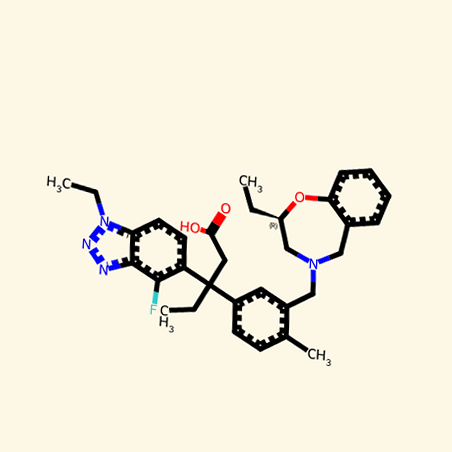 CC[C@@H]1CN(Cc2cc(C(CC)(CC(=O)O)c3ccc4c(nnn4CC)c3F)ccc2C)Cc2ccccc2O1